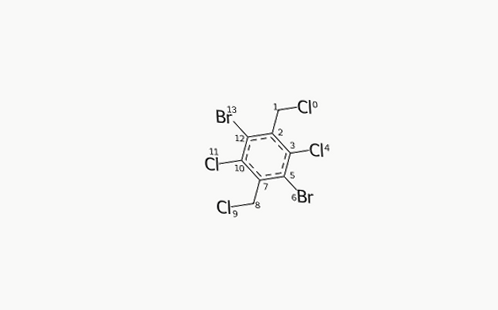 ClCc1c(Cl)c(Br)c(CCl)c(Cl)c1Br